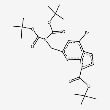 CC(C)(C)OC(=O)c1csc2c(Br)cc(CN(C(=O)OC(C)(C)C)C(=O)OC(C)(C)C)nc12